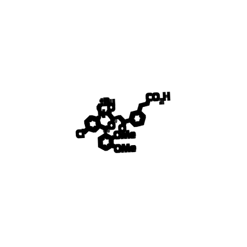 COc1cccc([C@H]2O[C@H](CC(=O)c3cccc(CCC(=O)O)c3)C(=O)N(CC(C)(C)C)c3ccc(Cl)cc32)c1OC